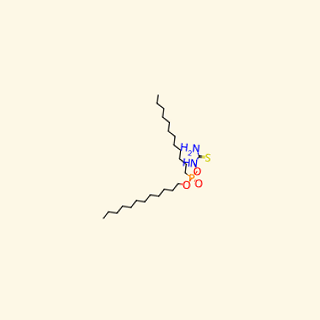 CCCCCCCCCCCCOP(=O)(CCCCCCCCCCCC)ONC(N)=S